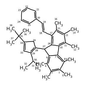 Cc1c(C)c(C)c2c(c1C)-c1c(C)c(C)c(C)c(C=Cc3ccccc3)c1C2C1=C(C(C)C)C=C(C(C)(C)C)C1